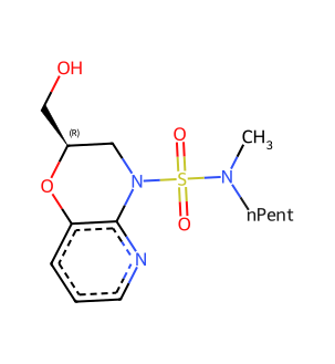 CCCCCN(C)S(=O)(=O)N1C[C@H](CO)Oc2cccnc21